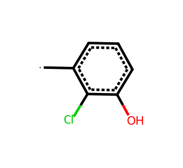 [CH2]c1cccc(O)c1Cl